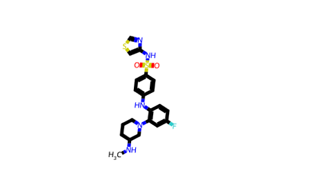 CNC1CCCN(c2cc(F)ccc2Nc2ccc(S(=O)(=O)Nc3cscn3)cc2)C1